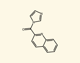 O=C(c1ccc2ccccc2n1)n1ccnc1